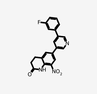 O=C1CCc2cc(-c3cncc(-c4cccc(F)c4)c3)cc([N+](=O)[O-])c2N1